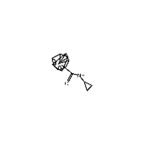 O=C(NC1CC1)[C]12[CH]3[CH]4[CH]5[CH]1[Fe]45321678[CH]2[CH]1[CH]6[CH]7[CH]28